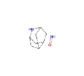 C1C2CC3CC(CC13)N2.N=O